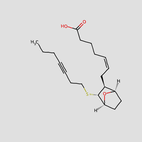 CCCC#CCCS[C@@H]1[C@@H](C/C=C\CCCC(=O)O)[C@H]2CC[C@@H]1O2